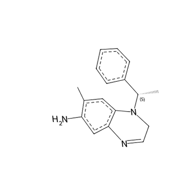 Cc1cc2c(cc1N)N=CCN2[C@@H](C)c1ccccc1